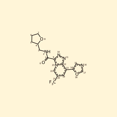 O=C(NCC1CCCO1)c1nnc2c(-c3cnco3)cc(C(F)(F)F)cn12